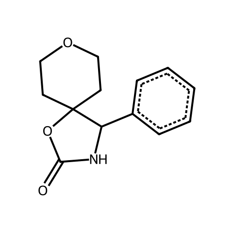 O=C1NC(c2ccccc2)C2(CCOCC2)O1